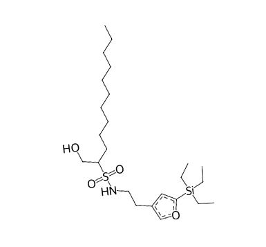 CCCCCCCCCCC(CO)S(=O)(=O)NCCc1coc([Si](CC)(CC)CC)c1